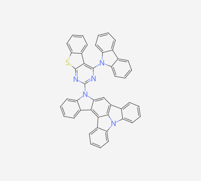 c1ccc2c(c1)sc1nc(-n3c4ccccc4c4c5c6ccccc6n6c7ccccc7c(cc43)c56)nc(-n3c4ccccc4c4ccccc43)c12